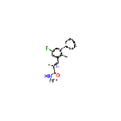 CCCNC(=O)/C(C)=C/c1cc(F)cc(-c2ccccc2)c1C